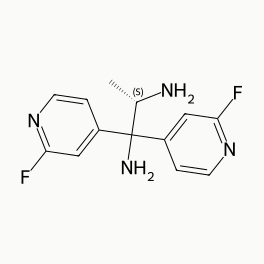 C[C@H](N)C(N)(c1ccnc(F)c1)c1ccnc(F)c1